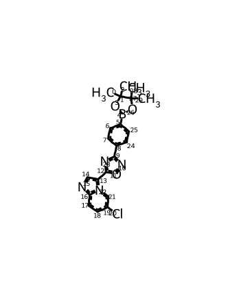 CC1(C)OB(c2ccc(-c3noc(-c4cnc5ccc(Cl)cn45)n3)cc2)OC1(C)C